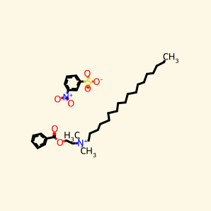 CCCCCCCCCCCCCCCCCC[N+](C)(C)CCOC(=O)c1ccccc1.O=[N+]([O-])c1cccc(S(=O)(=O)[O-])c1